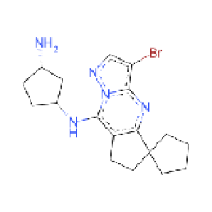 N[C@H]1CC[C@@H](Nc2c3c(nc4c(Br)cnn24)C2(CCCC2)CC3)C1